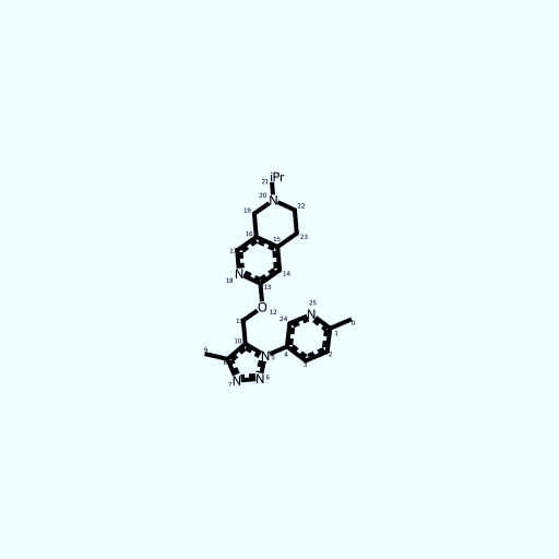 Cc1ccc(-n2nnc(C)c2COc2cc3c(cn2)CN(C(C)C)CC3)cn1